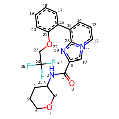 O=C(NC1CCCOC1)c1cn2cccc(-c3ccccc3OCC(F)(F)F)c2n1